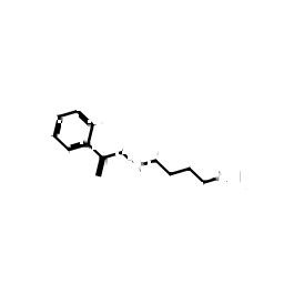 C=C(CNCCCCN)c1ccccc1